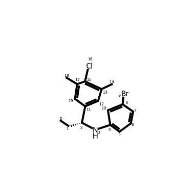 CC[C@@H](Nc1cccc(Br)c1)c1cc(C)c(Cl)c(C)c1